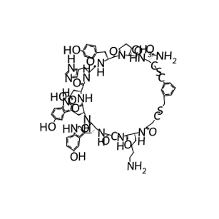 C[C@@]12CCCN1C(=O)[C@H](Cc1ccc(O)cc1)NC(=O)[C@H](Cc1cnc[nH]1)NC(=O)[C@H](CC(=O)O)NC(=O)[C@H](Cc1c[nH]c3ccc(O)cc13)NC(=O)[C@@H](Cc1c[nH]c3ccc(O)cc13)NC(=O)CNC(=O)[C@H](CCCCN)NC(=O)CCSCc1cccc(c1)CSC[C@@H](C(N)=O)NC2=O